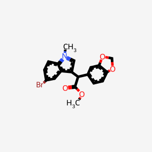 COC(=O)C(c1ccc2c(c1)OCO2)c1cn(C)c2ccc(Br)cc12